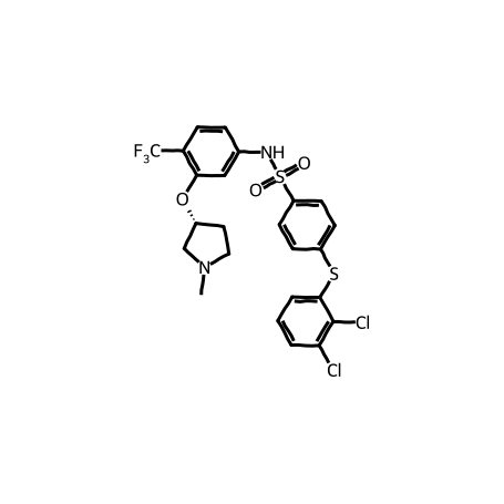 CN1CC[C@@H](Oc2cc(NS(=O)(=O)c3ccc(Sc4cccc(Cl)c4Cl)cc3)ccc2C(F)(F)F)C1